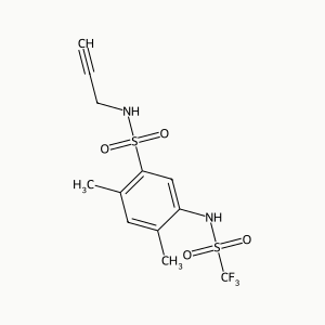 C#CCNS(=O)(=O)c1cc(NS(=O)(=O)C(F)(F)F)c(C)cc1C